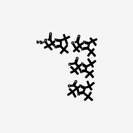 CC(C)(C)C1=NC(C(=O)[O-])(C(C)(C)C)N=C1C(C)(C)C.CC(C)(C)C1=NC(C(=O)[O-])(C(C)(C)C)N=C1C(C)(C)C.CC(C)(C)C1=NC(C(=O)[O-])(C(C)(C)C)N=C1C(C)(C)C.CC(C)(C)C1=NC(C(=O)[O-])(C(C)(C)C)N=C1C(C)(C)C.[Sr+2].[Sr+2]